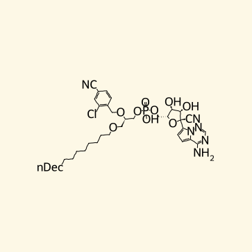 CCCCCCCCCCCCCCCCCCOC[C@H](COP(=O)(O)OC[C@H]1O[C@@](C#N)(c2ccc3c(N)ncnn23)[C@H](O)[C@@H]1O)OCc1ccc(C#N)cc1Cl